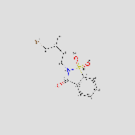 CC(CBr)CCN1C(=O)c2ccccc2S1(=O)=O